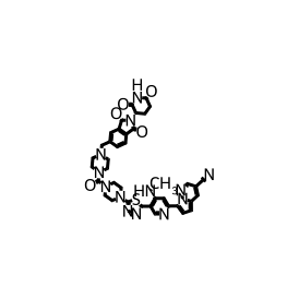 CNc1cc(-c2ccc3cc(C#N)cnn23)ncc1-c1nnc(N2CCN(C(=O)N3CCN(Cc4ccc5c(c4)C(=O)N(C4CCC(=O)NC4=O)C5=O)CC3)CC2)s1